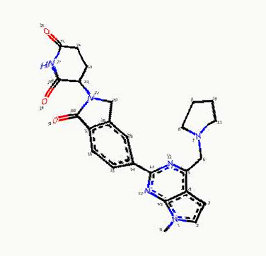 Cn1ccc2c(CN3CCCC3)nc(-c3ccc4c(c3)CN(C3CCC(=O)NC3=O)C4=O)nc21